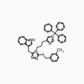 Cc1cccc(CSc2nnc(Cc3c[nH]c4ccccc34)n2CCCc2cn(C(c3ccccc3)(c3ccccc3)c3ccccc3)cn2)c1